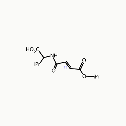 CC(C)OC(=O)/C=C/C(=O)NC(C(=O)O)C(C)C